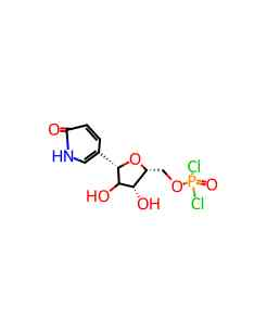 O=c1ccc([C@@H]2O[C@H](COP(=O)(Cl)Cl)[C@H](O)C2O)c[nH]1